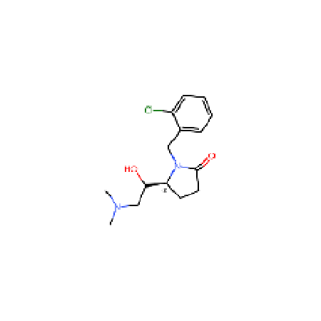 CN(C)CC(O)[C@@H]1CCC(=O)N1Cc1ccccc1Cl